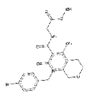 CC(C)(C)OC(=O)CNC(=O)c1c(O)c2c(n(Cc3ccc(Br)cc3)c1=O)COCC2